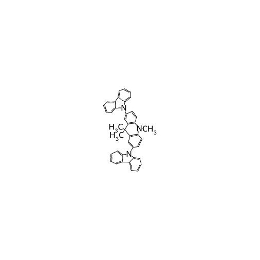 CN1c2ccc(-n3c4ccccc4c4ccccc43)cc2C(C)(C)c2cc(-n3c4ccccc4c4ccccc43)ccc21